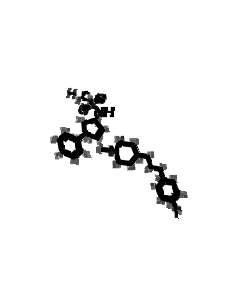 CS(=O)(=O)N[C@H]1C[C@H](CN2CCC(CCCc3ccc(F)cc3)CC2)[C@@H](c2ccccc2)C1